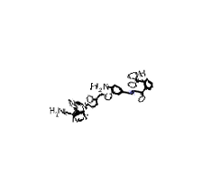 Nc1ccc(/C=C/C(=O)c2ccccc2C(=O)O)cc1OCC1CCC(n2cnc3c(N)ncnc32)O1